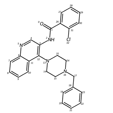 O=C(Nc1cnc2ccccc2c1N1CCN(Cc2ccccc2)CC1)c1ccccc1Cl